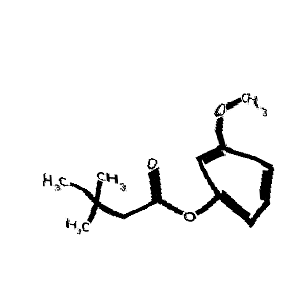 COc1cccc(OC(=O)CC(C)(C)C)c1